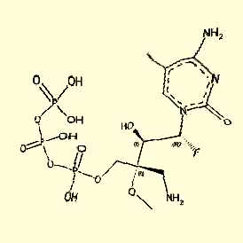 CO[C@](CN)(COP(=O)(O)OP(=O)(O)OP(=O)(O)O)[C@@H](O)[C@@H](F)n1cc(C)c(N)nc1=O